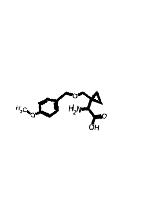 COc1ccc(COCC2(C(N)C(=O)O)CC2)cc1